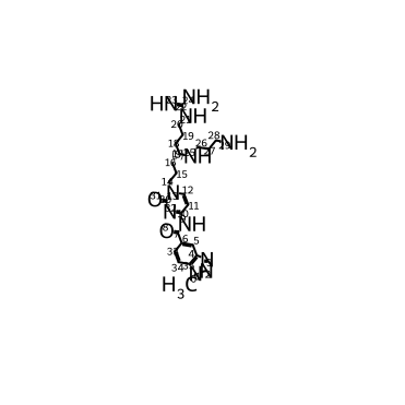 Cn1nnc2cc(C(=O)Nc3ccn(CCC[C@H](CCCNC(=N)N)NCCCN)c(=O)n3)ccc21